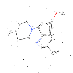 O=C(O)c1cnc2c(N3CCC(C(F)(F)F)CC3)cc(OC(F)(F)F)cc2c1